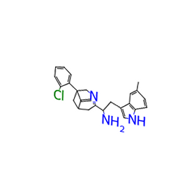 C=C1C2CC(C(N)Cc3c[nH]c4ccc(C)cc34)=NCC1(c1ccccc1Cl)C2